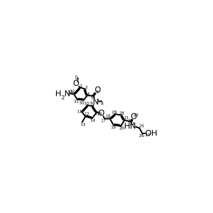 COc1cc(C(=O)N(C)c2ccc(C)cc2OCc2ccc(C(=O)NCCO)cc2)ccc1N